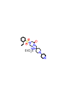 C=Cc1ccccc1S(=O)(=O)N1CCN(CC2(NC(=O)OCC)CCN(c3ccncc3)CC2)C(=O)C1